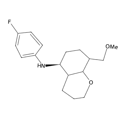 COCC1CC[C@H](Nc2ccc(F)cc2)C2CCCOC12